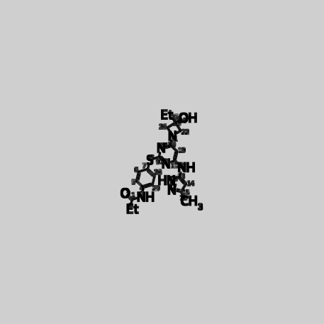 CCC(=O)Nc1ccc(Sc2nc(Nc3cc(C)n[nH]3)cc(N3CC(O)(CC)C3)n2)cc1